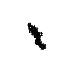 CC[C@H]1C[C@H]2[C@@H]3CCC4=CC(=O)CC[C@@H]4[C@H]3CC[C@]2(C)[C@H]1OC(=O)COC(=O)CCC1CCCCC1